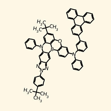 CC(C)(C)c1ccc(-n2nc3cc4c(cc3n2)N(c2ccccc2)c2cc(C(C)(C)C)cc3c2B4c2ccc(N(c4ccccc4)c4cccc(-c5ccc6c7ccccc7c7ccccc7c6c5)c4)cc2O3)cc1